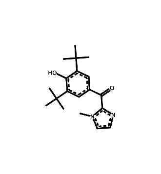 Cn1ccnc1C(=O)c1cc(C(C)(C)C)c(O)c(C(C)(C)C)c1